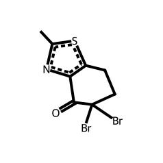 Cc1nc2c(s1)CCC(Br)(Br)C2=O